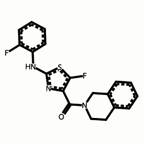 O=C(c1nc(Nc2ccccc2F)sc1F)N1CCc2ccccc2C1